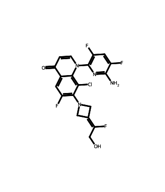 Nc1nc(-n2ccc(=O)c3cc(F)c(N4CC(=C(F)CO)C4)c(Cl)c32)c(F)cc1F